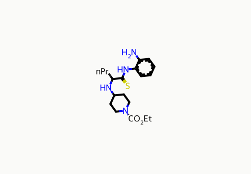 CCCC(NC1CCN(C(=O)OCC)CC1)C(=S)Nc1ccccc1N